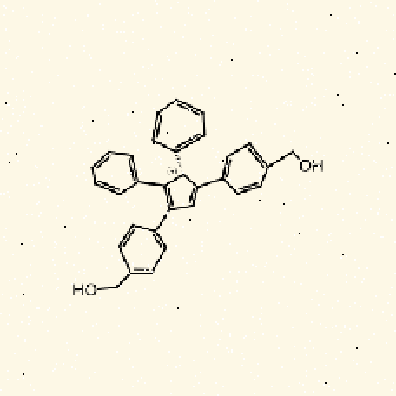 OCc1ccc(C2=CC(c3ccc(CO)cc3)=C(c3ccccc3)[C@@H]2c2ccccc2)cc1